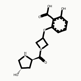 O=C(O)c1c(O)cccc1OC1CN(C(=O)[C@H]2C[C@H](O)CN2)C1